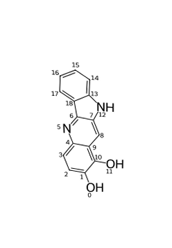 Oc1ccc2nc3c(cc2c1O)[nH]c1ccccc13